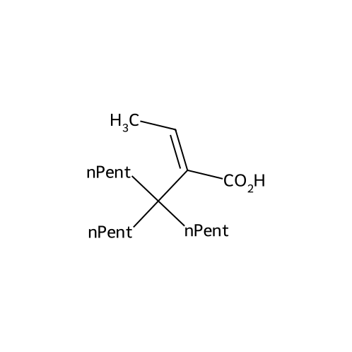 CC=C(C(=O)O)C(CCCCC)(CCCCC)CCCCC